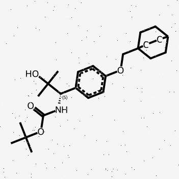 CC(C)(C)OC(=O)N[C@@H](c1ccc(OCC23CCC(CC2)CC3)cc1)C(C)(C)O